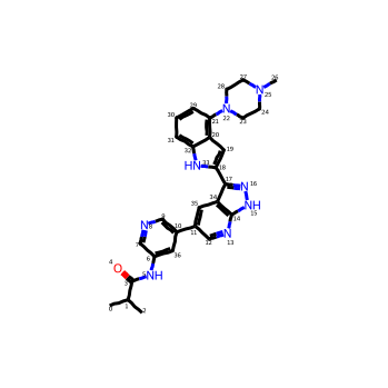 CC(C)C(=O)Nc1cncc(-c2cnc3[nH]nc(-c4cc5c(N6CCN(C)CC6)cccc5[nH]4)c3c2)c1